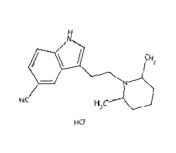 CC1CCCC(C)N1CCc1c[nH]c2ccc(C#N)cc12.Cl